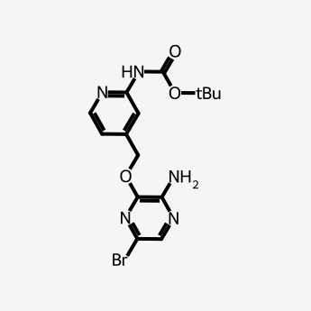 CC(C)(C)OC(=O)Nc1cc(COc2nc(Br)cnc2N)ccn1